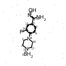 BN1CCN(c2ccc(/C(N)=N/O)cc2F)CC1